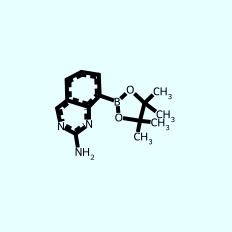 CC1(C)OB(c2cccc3cnc(N)nc23)OC1(C)C